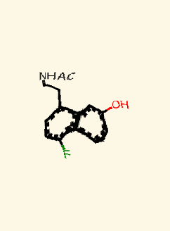 CC(=O)NCCc1ccc(F)c2ccc(O)cc12